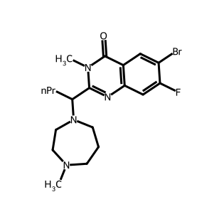 CCCC(c1nc2cc(F)c(Br)cc2c(=O)n1C)N1CCCN(C)CC1